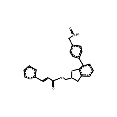 O=C(/C=C/c1ccccn1)NCC1Cc2cccc(-c3ccc(C[SH](=O)=O)cc3)c2O1